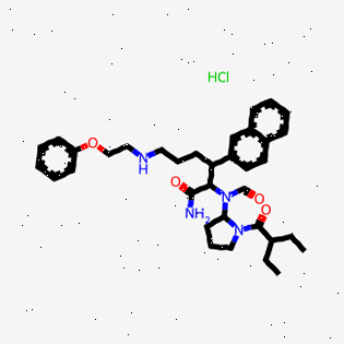 CCC(CC)C(=O)N1CCCC1N(C=O)C(C(N)=O)C(CCCNCCOc1ccccc1)c1ccc2ccccc2c1.Cl